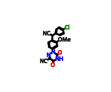 COc1cc(-n2nc(C#N)c(=O)[nH]c2=O)ccc1C(C#N)c1ccc(Cl)cc1